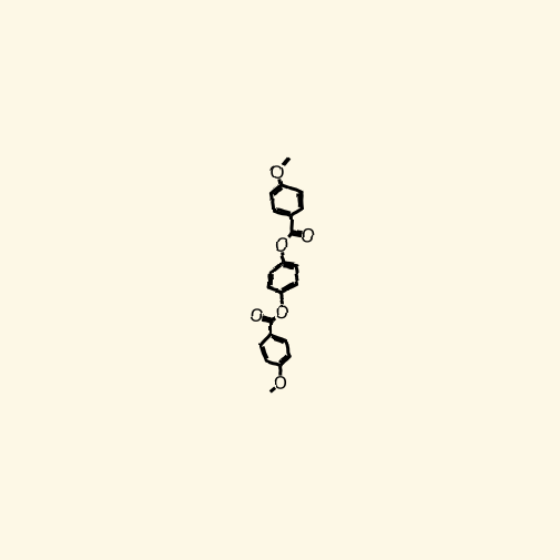 COc1ccc(C(=O)Oc2ccc(OC(=O)c3ccc(OC)cc3)cc2)cc1